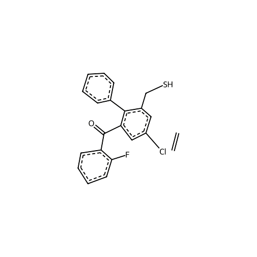 C=C.O=C(c1ccccc1F)c1cc(Cl)cc(CS)c1-c1ccccc1